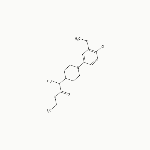 CCOC(=O)C(C)C1CCN(c2ccc(Cl)c(OC)c2)CC1